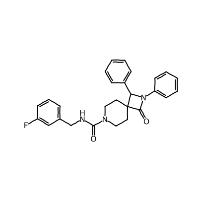 O=C(NCc1cccc(F)c1)N1CCC2(CC1)C(=O)N(c1ccccc1)C2c1ccccc1